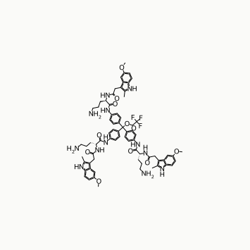 COc1ccc2[nH]c(C)c(CC(=O)N[C@H](CCCN)C(=O)Nc3ccc(C(OC(=O)C(F)(F)F)(c4ccc(NC(=O)[C@@H](CCCN)NC(=O)Cc5c(C)[nH]c6ccc(OC)cc56)cc4)c4ccc(NC(=O)[C@@H](CCCN)NC(=O)Cc5c(C)[nH]c6ccc(OC)cc56)cc4)cc3)c2c1